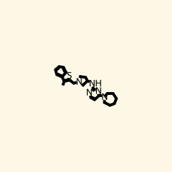 Cc1c(CN2CCC(Nc3nccc(N4CCCCCC4)n3)C2)sc2ccccc12